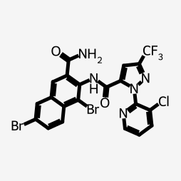 NC(=O)c1cc2cc(Br)ccc2c(Br)c1NC(=O)c1cc(C(F)(F)F)nn1-c1ncccc1Cl